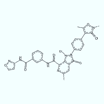 CCn1c2c(C(=O)Nc3cccc(C(=O)Nc4ccon4)c3)nc(C)cc2c(=O)n1-c1ccc(-c2c(C)on(C)c2=O)cc1